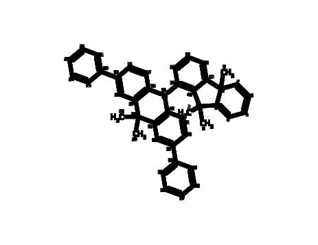 CC1(C)C2=CC=C=CC2(C)c2cccc(N3c4ccc(-c5ccccc5)cc4C(C)(C)c4cc(-c5ccccc5)ccc43)c21